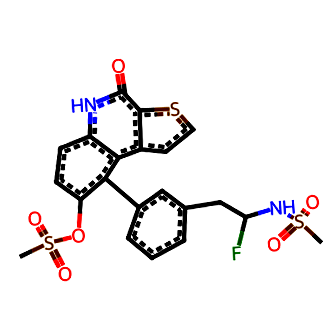 CS(=O)(=O)NC(F)Cc1cccc(-c2c(OS(C)(=O)=O)ccc3[nH]c(=O)c4sccc4c23)c1